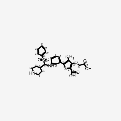 Cc1c(-c2cccc(NC(C3CCNCC3)S(=O)(=O)c3ccccc3)c2)sc(C(=O)O)c1OCC(=O)O